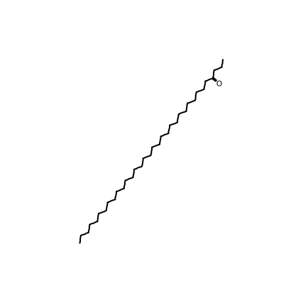 CCCCCCCCCCCCCCCCCCCCCCCCCCCCCCC(=O)CCC